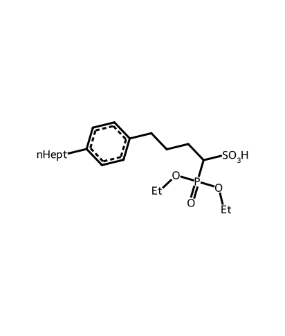 CCCCCCCc1ccc(CCCC(P(=O)(OCC)OCC)S(=O)(=O)O)cc1